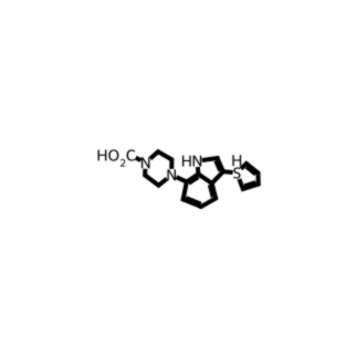 O=C(O)N1CCN(c2cccc3c([SH]4C=CC=C4)c[nH]c23)CC1